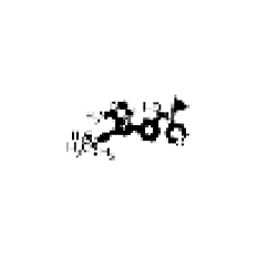 C[Si](C)(C)C#Cc1cc(-c2cccc(C(O)N(C3CCOCC3)C3CC3)c2)n2ncnc(N)c12